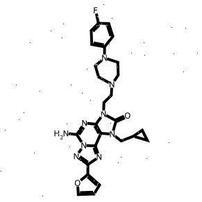 Nc1nc2c(c3nc(-c4ccco4)nn13)n(CC1CC1)c(=O)n2CCN1CCN(c2ccc(F)cc2)CC1